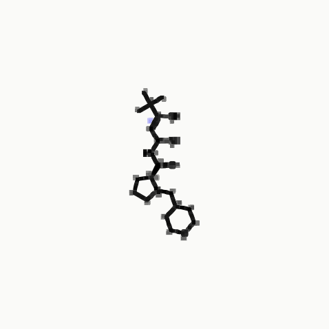 CC(C)(C)/C(O)=C/C(=N)NC(=O)[C@@H]1CCCN1CC1CCOCC1